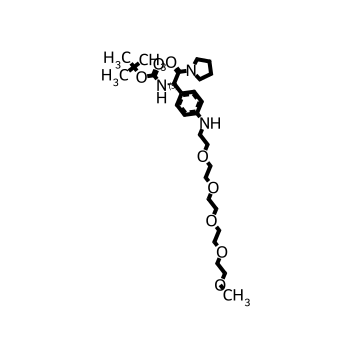 COCCOCCOCCOCCOCCNc1ccc([C@H](NC(=O)OC(C)(C)C)C(=O)N2CCCC2)cc1